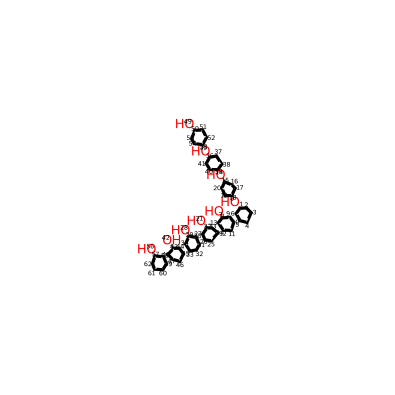 Oc1ccccc1.Oc1ccccc1.Oc1ccccc1.Oc1ccccc1.Oc1ccccc1.Oc1ccccc1.Oc1ccccc1.Oc1ccccc1.Oc1ccccc1